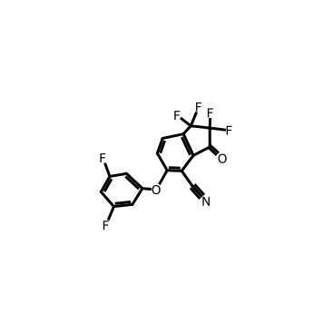 N#Cc1c(Oc2cc(F)cc(F)c2)ccc2c1C(=O)C(F)(F)C2(F)F